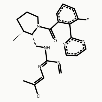 C=N/C(=N\C=C(/C)Cl)NC[C@@H]1[C@H](C)CCCN1C(=O)c1cccc(F)c1-c1ncccn1